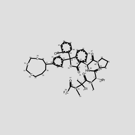 CCC(C)(C(=O)N(C)[C@H](C(=O)N[C@@H](CC(=O)OC(c1ccccc1)(c1ccc(C2CCCCCCCCC2)cc1)c1ccccc1Cl)C(=O)N1CCCC1)C(C)C)N(C)C(=O)C(F)(F)F